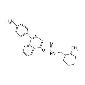 CN1CCCCC1CNC(=O)Oc1cnc(-c2ccc(N)cc2)c2ccccc12